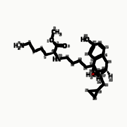 COC(=O)[C@H](CCCCN)NCCCCC12CN(CC3CC3)[C@H](Cc3ccc(O)cc31)[C@@H]2C